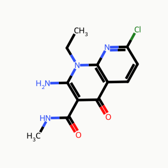 CCn1c(N)c(C(=O)NC)c(=O)c2ccc(Cl)nc21